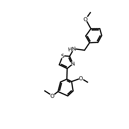 COc1cccc(CNc2nc(-c3cc(OC)ccc3OC)cs2)c1